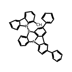 Cc1cccc2c3ccccc3n(B3c4ccccc4-n4c5ccc(-c6ccccc6)cc5c5cc(-c6ccccc6)cc3c54)c12